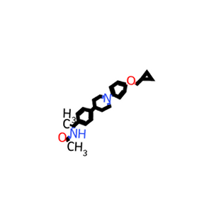 CC(=O)N[C@@H](C)c1ccc(C2CCN(c3ccc(OCC4CC4)cc3)CC2)cc1